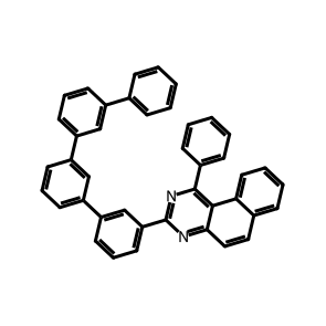 c1ccc(-c2cccc(-c3cccc(-c4cccc(-c5nc(-c6ccccc6)c6c(ccc7ccccc76)n5)c4)c3)c2)cc1